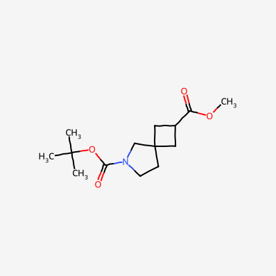 COC(=O)C1CC2(CCN(C(=O)OC(C)(C)C)C2)C1